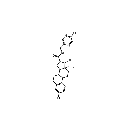 Cc1cnc(CNC(=O)C2CC3C4CCc5cc(O)ccc5C4CCC3(C)C2O)cn1